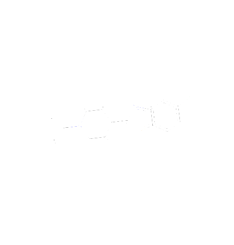 Clc1ccc2sc(C3CCN(C4COC4)CC3)nc2c1